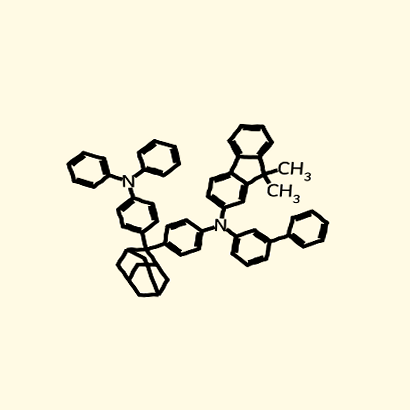 CC1(C)c2ccccc2-c2ccc(N(c3ccc(C4(c5ccc(N(c6ccccc6)c6ccccc6)cc5)C5CC6CC(C5)CC4C6)cc3)c3cccc(-c4ccccc4)c3)cc21